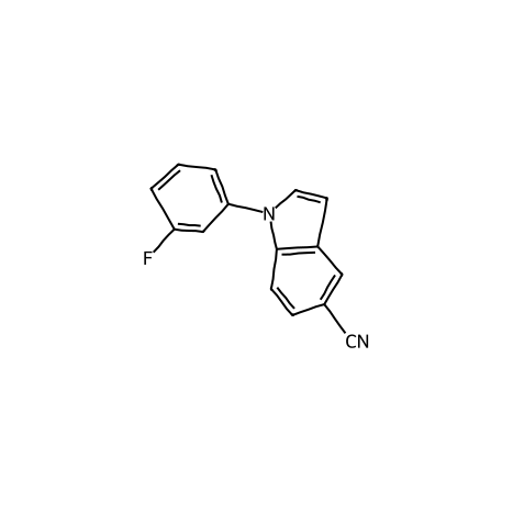 N#Cc1ccc2c(ccn2-c2cccc(F)c2)c1